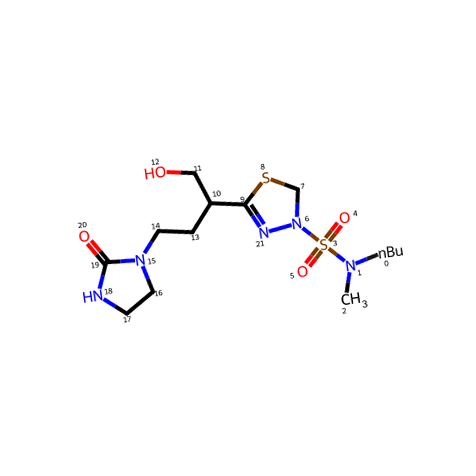 CCCCN(C)S(=O)(=O)N1CSC(C(CO)CCN2CCNC2=O)=N1